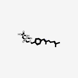 CC(C)=CCC/C(C)=C/c1ccc(COCP(=O)(CP(=O)(O)O)OC(C)C)cc1